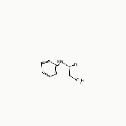 CCC(CS(=O)(=O)O)Nc1ccccc1